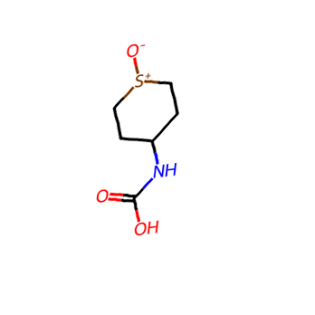 O=C(O)NC1CC[S+]([O-])CC1